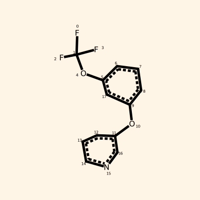 FC(F)(F)Oc1cc[c]c(Oc2cccnc2)c1